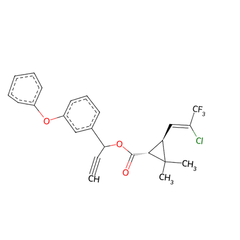 C#CC(OC(=O)[C@@H]1[C@@H](/C=C(\Cl)C(F)(F)F)C1(C)C)c1cccc(Oc2ccccc2)c1